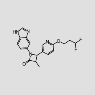 CC1C(=O)N(c2ccc3[nH]cnc3c2)C1c1ccc(OCCC(F)F)nc1